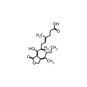 C=C(C/C=C(\C)CCC(=O)O)/C(O)=C1/C(=O)OC/C1=C(\C)COC